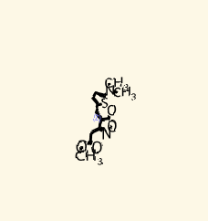 COC(=O)CC1=NOC(=O)/C1=C\c1ccc(N(C)C)s1